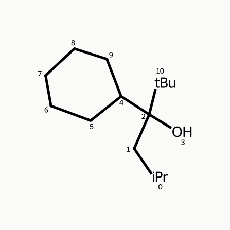 CC(C)CC(O)(C1CCCCC1)C(C)(C)C